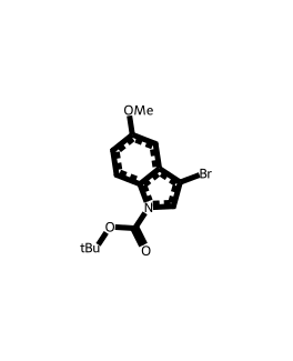 CC(C)(C)OC(=O)n1cc(Br)c2cc(O[13CH3])ccc21